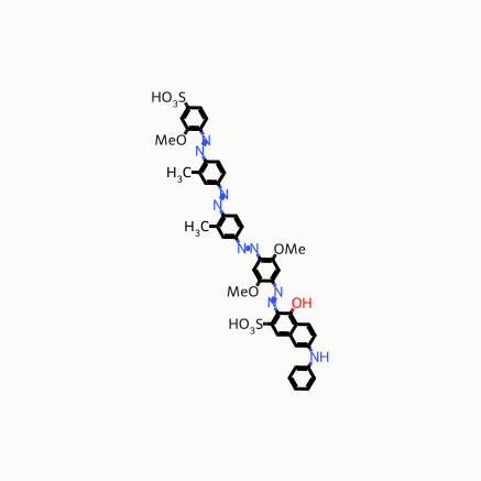 COc1cc(N=Nc2c(S(=O)(=O)O)cc3cc(Nc4ccccc4)ccc3c2O)c(OC)cc1N=Nc1ccc(N=Nc2ccc(N=Nc3ccc(S(=O)(=O)O)cc3OC)c(C)c2)c(C)c1